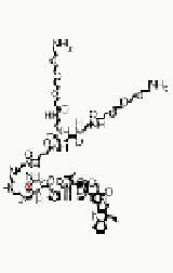 CCc1c2c(nc3ccccc13)-c1cc3c(c(=O)n1C2)COC(=O)[C@@]3(CC)OC(=O)[C@@H](NC(=O)[C@@H]1CCCN1C(=O)[C@H](CC(N)=O)NC(=O)CN(C)CCN(C)CCN(C)CCNC(=O)CCCC(=O)N[C@@H](CCC(=O)NCCNC(=O)CCOCCOCCOCCN)C(=O)NCCNC(=O)CCOCCOCCOCCN)C(C)C